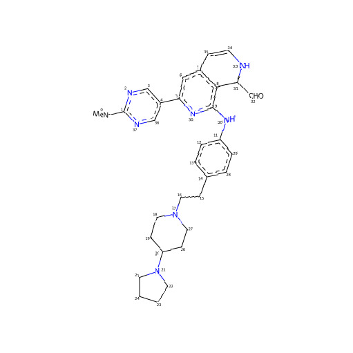 CNc1ncc(-c2cc3c(c(Nc4ccc(CCN5CCC(N6CCCC6)CC5)cc4)n2)C(C=O)NC=C3)cn1